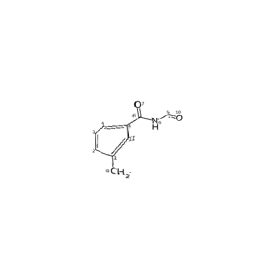 [CH2]c1cccc(C(=O)NC=O)c1